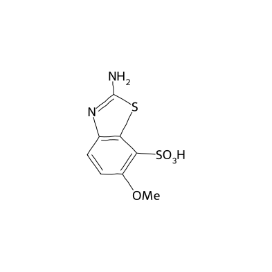 COc1ccc2nc(N)sc2c1S(=O)(=O)O